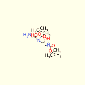 CC(C)(C)OC(=O)N(C[C@H](O)CN)CC1(O)CN(C(=O)OC(C)(C)C)C1